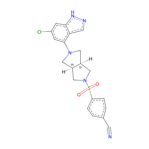 N#Cc1ccc(S(=O)(=O)N2C[C@H]3CN(c4cc(Cl)cc5[nH]ncc45)C[C@H]3C2)cc1